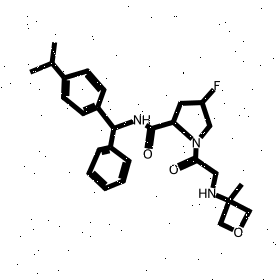 CC(C)c1ccc(C(NC(=O)C2CC(F)CN2C(=O)CNC2(C)COC2)c2ccccc2)cc1